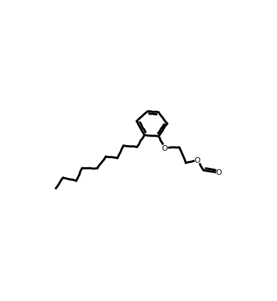 CCCCCCCCCc1ccccc1OCCOC=O